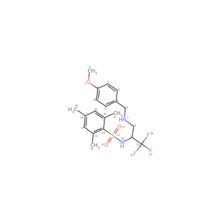 COc1ccc(CNCC(NS(=O)(=O)c2c(C)cc(C)cc2C)C(F)(F)F)cc1